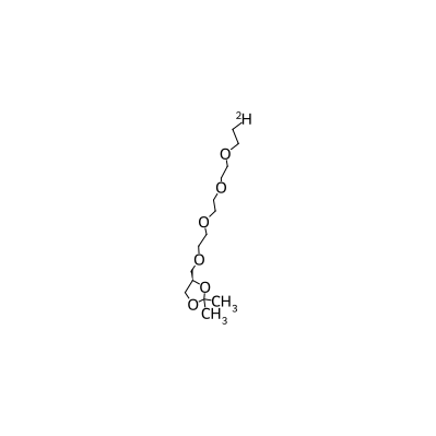 [2H]CCOCCOCCOCCOC[C@@H]1COC(C)(C)O1